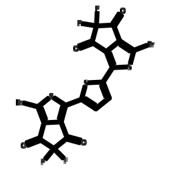 O=C1c2c(Br)sc(-c3ccc(-c4sc(Br)c5c4C(=O)C(F)(F)C5=O)s3)c2C(=O)C1(F)F